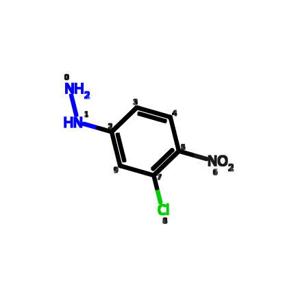 NNc1ccc([N+](=O)[O-])c(Cl)c1